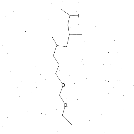 CCOCOCCCC(C)CC(C)CC(C)I